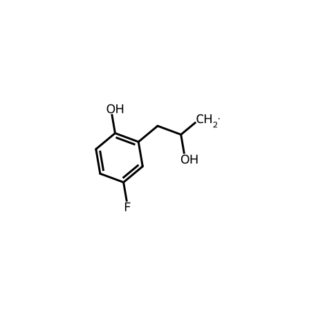 [CH2]C(O)Cc1cc(F)ccc1O